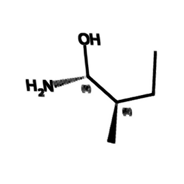 CC[C@@H](C)[C@H](N)O